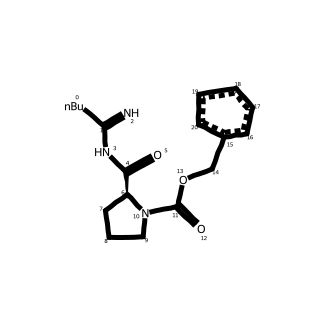 [CH2]CCCC(=N)NC(=O)[C@@H]1CCCN1C(=O)OCc1ccccc1